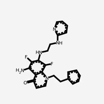 Nc1c(F)c(NCCNc2ccccn2)c(F)c2c1c(=O)ccn2CCc1ccccc1